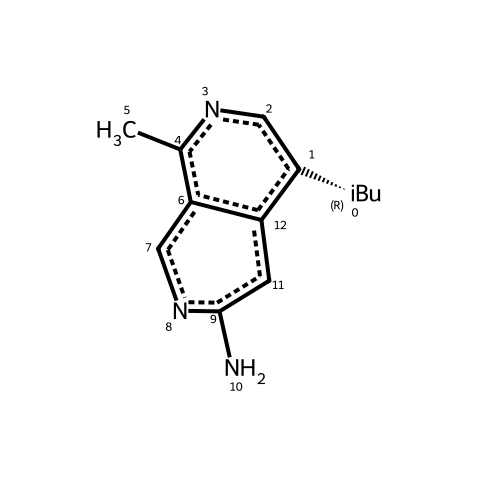 CC[C@@H](C)c1cnc(C)c2cnc(N)cc12